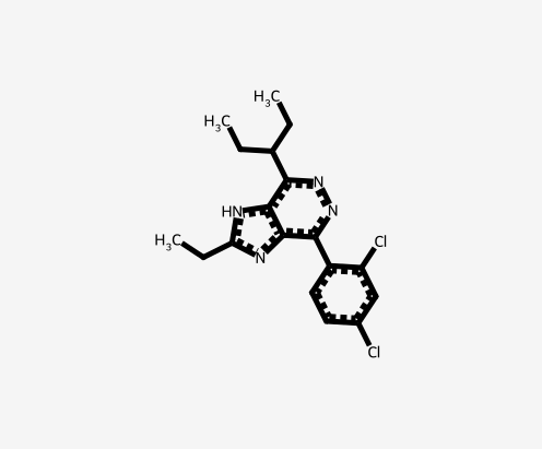 CCc1nc2c(-c3ccc(Cl)cc3Cl)nnc(C(CC)CC)c2[nH]1